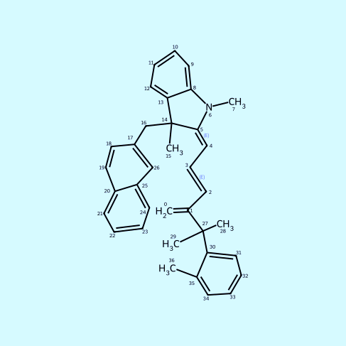 C=C(/C=C/C=C1/N(C)c2ccccc2C1(C)Cc1ccc2ccccc2c1)C(C)(C)c1ccccc1C